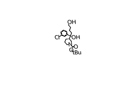 CC(C)(C)OC(=O)N1CCC[C@@H]([C@@](O)(CCCCO)c2cccc(Cl)c2)C1